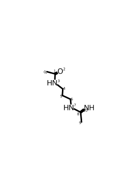 [CH2]C(=O)NCCCNC(C)=N